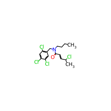 CCCCN(Cc1cc(Cl)c(Cl)cc1Cl)C(=O)/C=C/C(C)Cl